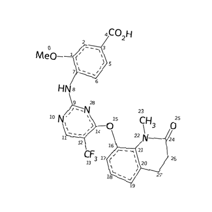 COc1cc(C(=O)O)ccc1Nc1ncc(C(F)(F)F)c(Oc2cccc3c2N(C)C(=O)CC3)n1